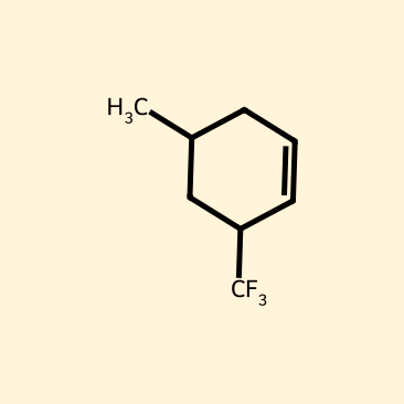 CC1CC=CC(C(F)(F)F)C1